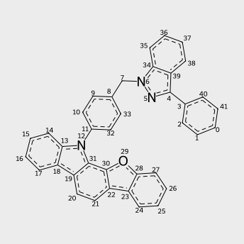 c1ccc(-c2nn(Cc3ccc(-n4c5ccccc5c5ccc6c7ccccc7oc6c54)cc3)c3ccccc23)cc1